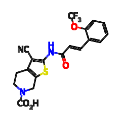 N#Cc1c(NC(=O)C=Cc2ccccc2OC(F)(F)F)sc2c1CCN(C(=O)O)C2